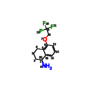 N[C@H]1CCCc2c(OCC(F)(F)F)cccc21